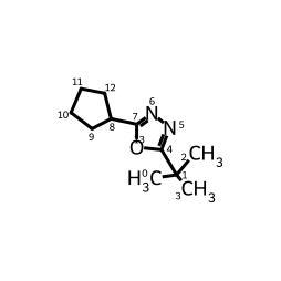 CC(C)(C)c1nnc(C2CCCC2)o1